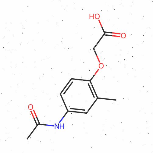 CC(=O)Nc1ccc(OCC(=O)O)c(C)c1